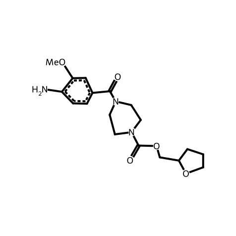 COc1cc(C(=O)N2CCN(C(=O)OCC3CCCO3)CC2)ccc1N